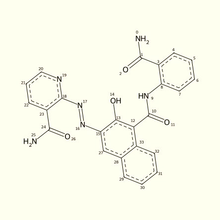 NC(=O)c1ccccc1NC(=O)c1c(O)c(/N=N/c2ncccc2C(N)=O)cc2ccccc12